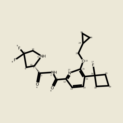 O=C(NC(=O)[C@@H]1CC(F)(F)CN1)c1ccc(C2(F)CCC2)c(OCC2CC2)n1